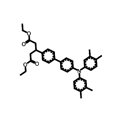 CCOC(=O)CC(CC(=O)OCC)c1ccc(-c2ccc(N(c3ccc(C)c(C)c3)c3ccc(C)c(C)c3)cc2)cc1